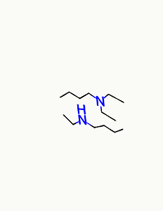 CCCCN(CC)CC.CCCCNCC